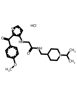 COc1ccc(C(=O)c2sccc2NCC(=O)NCC2CCN(C(C)C)CC2)cc1.Cl